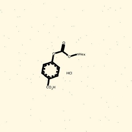 CCCCCCOC(=O)Oc1ccc(C(=O)O)cc1.Cl